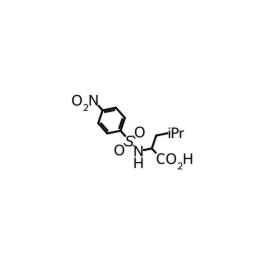 CC(C)CC(NS(=O)(=O)c1ccc([N+](=O)[O-])cc1)C(=O)O